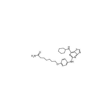 NC(=O)CCCCCCOc1ccc(Nc2nc(NC3CCCCC3)c3scnc3n2)cc1